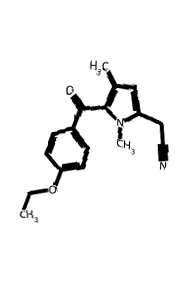 CCOc1ccc(C(=O)c2c(C)cc(CC#N)n2C)cc1